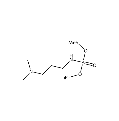 CSOP(=O)(NCCCN(C)C)OC(C)C